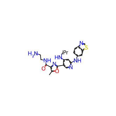 Cc1oc(-c2cnc(Nc3ccc4ncsc4c3)cc2NC(C)C)nc1C(=O)NCCN